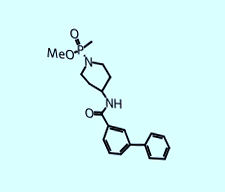 COP(C)(=O)N1CCC(NC(=O)c2cccc(-c3ccccc3)c2)CC1